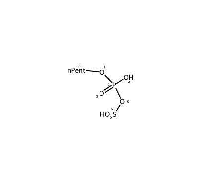 CCCCCOP(=O)(O)OS(=O)(=O)O